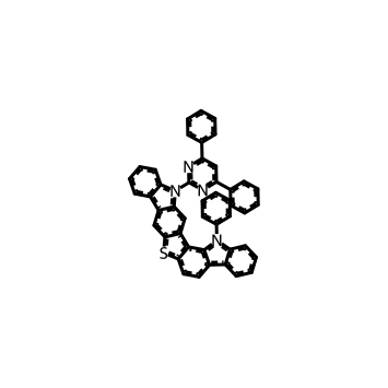 c1ccc(-c2cc(-c3ccccc3)nc(-n3c4ccccc4c4cc5sc6ccc7c8ccccc8n(-c8ccccc8)c7c6c5cc43)n2)cc1